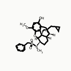 COc1cc(O)c2c3c1O[C@H]1[C@H](N(C)S(=O)(=O)Cc4ccccc4)CC[C@H]4[C@@H](C2)N(CC2CC2)CC[C@@]341